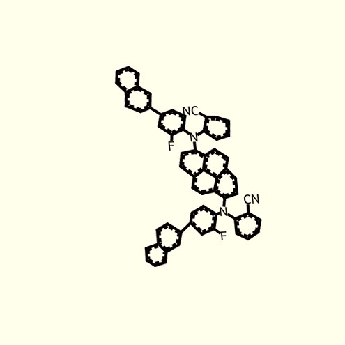 N#Cc1ccccc1N(c1ccc(-c2ccc3ccccc3c2)cc1F)c1ccc2ccc3c(N(c4ccc(-c5ccc6ccccc6c5)cc4F)c4ccccc4C#N)ccc4ccc1c2c43